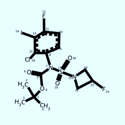 CC(C)(C)OC(=O)N(c1ccc(F)c(I)c1Cl)S(=O)(=O)N1CC(F)C1